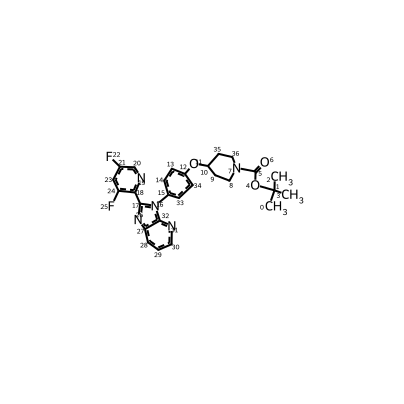 CC(C)(C)OC(=O)N1CCC(Oc2ccc(-n3c(-c4ncc(F)cc4F)nc4cccnc43)cc2)CC1